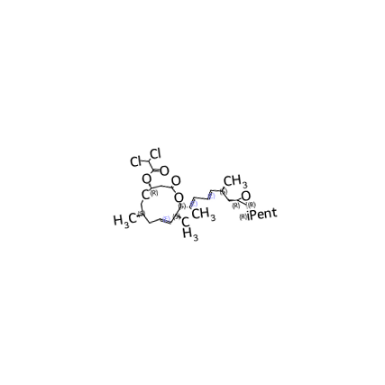 CCC[C@@H](C)[C@H]1O[C@@H]1C[C@H](C)/C=C/C=C(\C)[C@H]1OC(=O)C[C@H](OC(=O)C(Cl)Cl)CC[C@H](C)C/C=C/[C@@H]1C